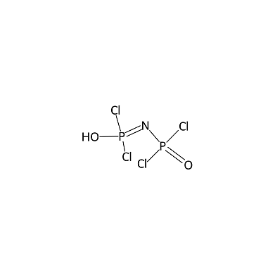 O=P(Cl)(Cl)N=P(O)(Cl)Cl